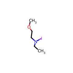 CCN(I)CCOC